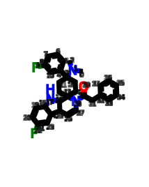 CN(C)C1(c2cccc(F)c2)CCC2(CC1)C1NC3C=CC(F)=CC3C1C=CN2C(=O)Cc1ccccc1